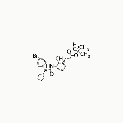 Cc1c(CCC(=O)OC(C)(C)C)cccc1NC(=O)[C@@H](c1ccc(Br)cc1)C1CCCC1